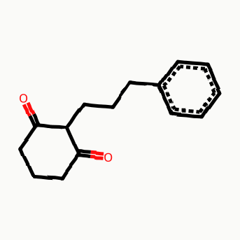 O=C1CCCC(=O)C1CCCc1ccccc1